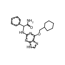 NC(=O)C(Nc1nc(OCC2CCCCC2)c2nc[nH]c2n1)c1ccccc1